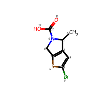 CC1c2cc(Br)sc2CN1C(=O)O